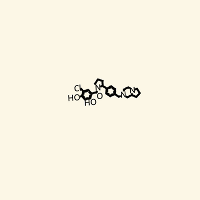 O=C(c1cc(Cl)c(O)cc1O)N1CCCC1c1ccc(CN2CCN3CCCC3C2)cc1